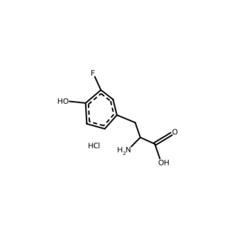 Cl.NC(Cc1ccc(O)c(F)c1)C(=O)O